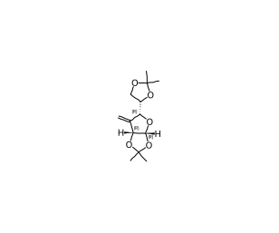 C=C1[C@H](C2COC(C)(C)O2)O[C@@H]2OC(C)(C)O[C@H]12